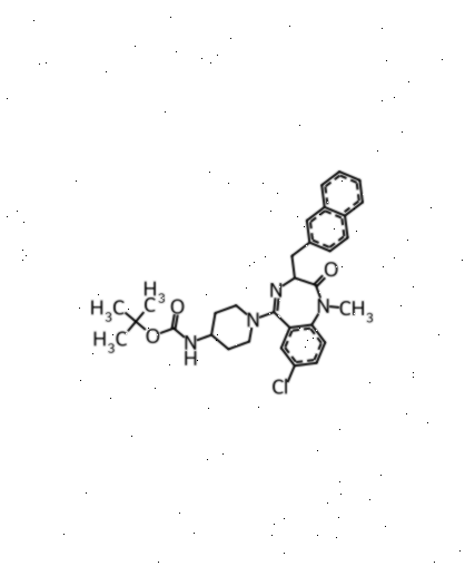 CN1C(=O)C(Cc2ccc3ccccc3c2)N=C(N2CCC(NC(=O)OC(C)(C)C)CC2)c2cc(Cl)ccc21